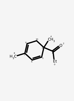 CCC(=O)C1(C)C=CC(C)=CC1